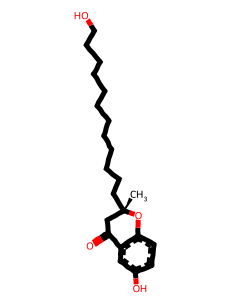 C[C@]1(CCCCCCCCCCCCO)CC(=O)c2cc(O)ccc2O1